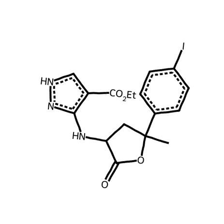 CCOC(=O)c1c[nH]nc1NC1CC(C)(c2ccc(I)cc2)OC1=O